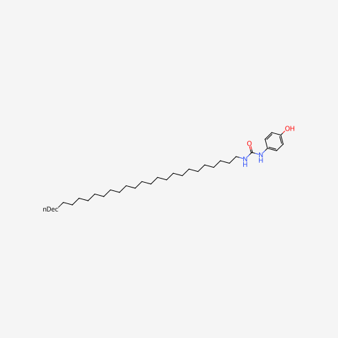 CCCCCCCCCCCCCCCCCCCCCCCCCCCCCCCCCNC(=O)Nc1ccc(O)cc1